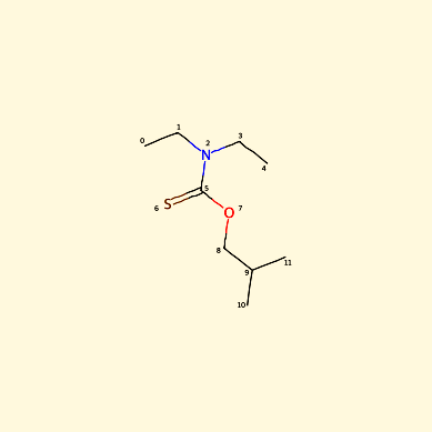 CCN(CC)C(=S)OCC(C)C